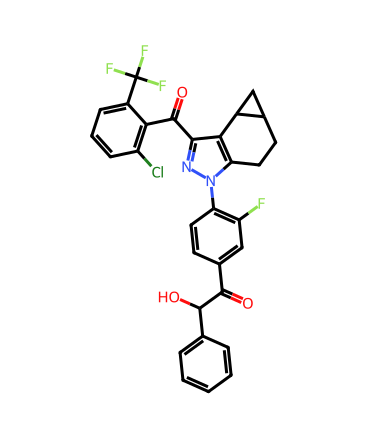 O=C(c1nn(-c2ccc(C(=O)C(O)c3ccccc3)cc2F)c2c1C1CC1CC2)c1c(Cl)cccc1C(F)(F)F